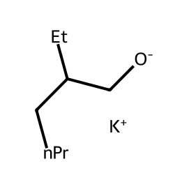 CCCCC(CC)C[O-].[K+]